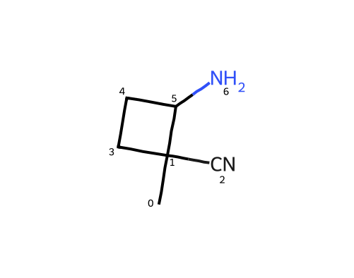 CC1(C#N)CCC1N